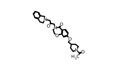 CC(=O)N1CCC(COc2ccc3c(c2)OCCN(CC(=O)CN2CCc4ccccc4C2)C3=O)CC1